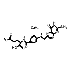 COC(=O)CCC(NC(=O)c1ccc(NCc2cnc3nc(N)[nH]c(=O)c3n2)cc1)C(=O)O.[CaH2]